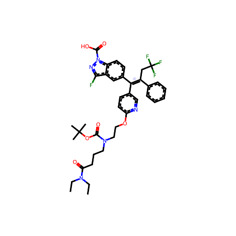 CCN(CC)C(=O)CCCN(CCOc1ccc(/C(=C(/CC(F)(F)F)c2ccccc2)c2ccc3c(c2)c(F)nn3C(=O)O)cn1)C(=O)OC(C)(C)C